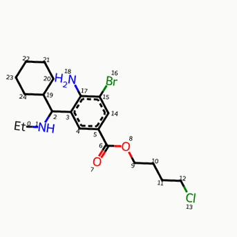 CCNC(c1cc(C(=O)OCCCCCl)cc(Br)c1N)C1CCCCC1